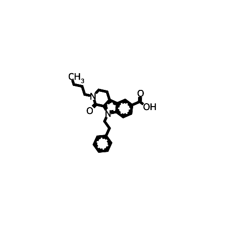 CCCCN1CCc2c(n(CCc3ccccc3)c3ccc(C(=O)O)cc23)C1=O